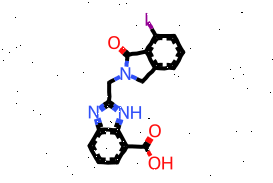 O=C(O)c1cccc2nc(CN3Cc4cccc(I)c4C3=O)[nH]c12